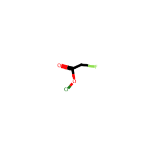 O=C(CF)OCl